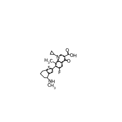 CNC1CCCc2sc(-c3c(F)cc4c(=O)c(C(=O)O)cn(C5CC5)c4c3C)cc21